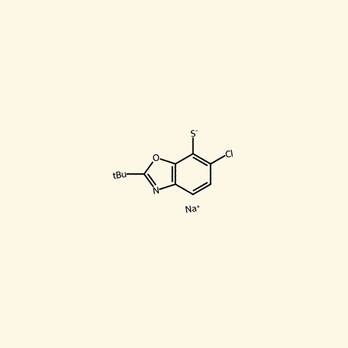 CC(C)(C)c1nc2ccc(Cl)c([S-])c2o1.[Na+]